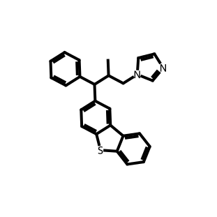 CC(Cn1ccnc1)C(c1ccccc1)c1ccc2sc3ccccc3c2c1